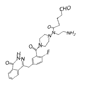 NCCN(C(=O)CCCC=O)N1CCN(C(=O)c2cc(Cc3n[nH]c(=O)c4ccccc34)ccc2F)CC1